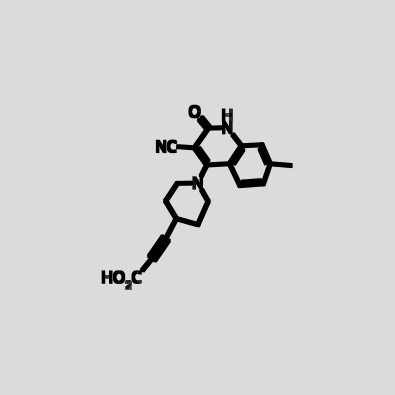 Cc1ccc2c(N3CCC(C#CC(=O)O)CC3)c(C#N)c(=O)[nH]c2c1